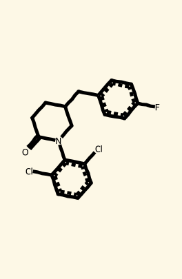 O=C1CCC(Cc2ccc(F)cc2)CN1c1c(Cl)cccc1Cl